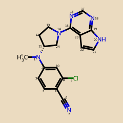 CN(c1ccc(C#N)c(Cl)c1)[C@@H]1CCN(c2ncnc3[nH]ccc23)C1